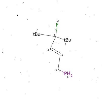 CC(C)(C)C(F)(C=CCP)C(C)(C)C